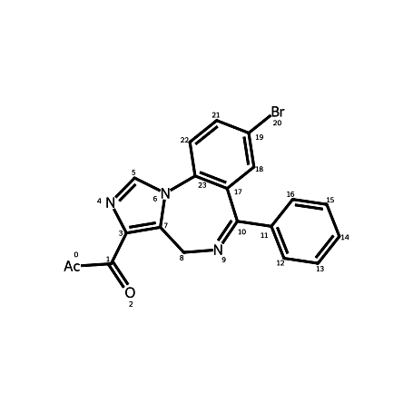 CC(=O)C(=O)c1ncn2c1CN=C(c1ccccc1)c1cc(Br)ccc1-2